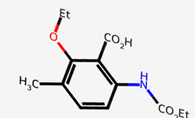 CCOC(=O)Nc1ccc(C)c(OCC)c1C(=O)O